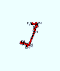 COc1cnc(C(=O)NCc2cccc(CC(=O)NCCOCCOCCOCCOCCOCC(=O)N[C@H](C(=O)N3C[C@H](O)C[C@H]3C(=O)NCc3ccc(-c4sccc4C)cc3)C(C)(C)C)c2)cc1/C=C/[C@H]1CC[C@H](C(F)(F)F)CC1